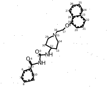 O=C(NC(=O)c1ccccc1)NC1CCN(CCOc2cccc3ccccc23)CC1